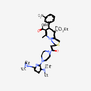 CCOC(=O)C1C2=CSC(CC(=O)N3CCN(c4nc(N(CC)CC)ccc4N(CC)CC)CC3)N2C(C)=C(C(=O)OC)C1c1cccc([N+](=O)[O-])c1